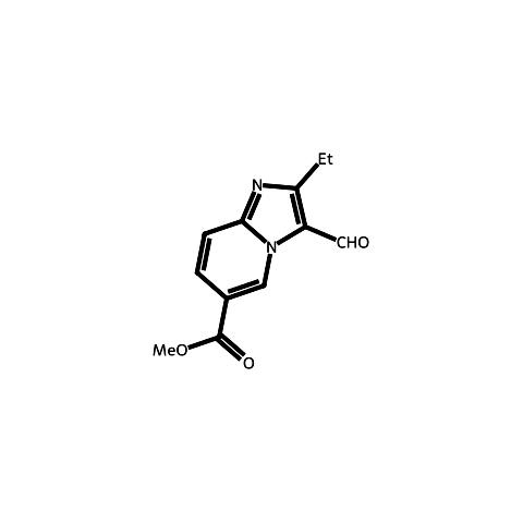 CCc1nc2ccc(C(=O)OC)cn2c1C=O